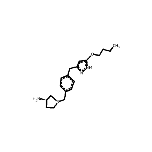 CCCCOc1cc(Cc2ccc(CN3CC[C@@H](N)C3)cc2)n[nH]1